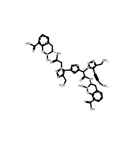 NCC#Cc1c(CN)nnn1C(C(=O)N[C@H]1Cc2cccc(C(=O)O)c2OB1O)c1cc(-c2c(CN)nnn2CC(=O)N[C@H]2Cc3cccc(C(=O)O)c3OB2O)cs1